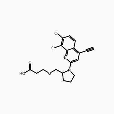 C#Cc1cc(N2CCCC2COCCC(=O)O)nc2c(Cl)c(Cl)ccc12